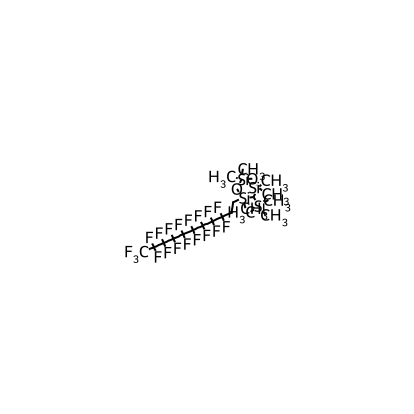 C[Si]1(C)O[Si](C)(C)C([Si](C)(C)C)[Si](C)(CCC(F)(F)C(F)(F)C(F)(F)C(F)(F)C(F)(F)C(F)(F)C(F)(F)C(F)(F)C(F)(F)F)O1